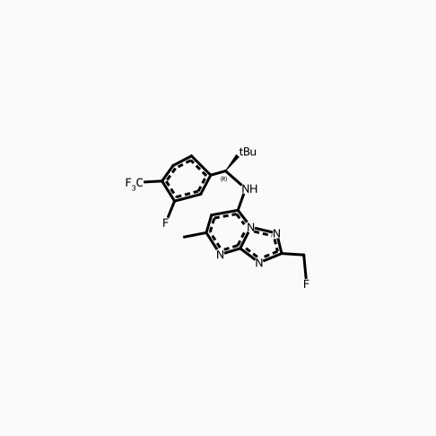 Cc1cc(N[C@@H](c2ccc(C(F)(F)F)c(F)c2)C(C)(C)C)n2nc(CF)nc2n1